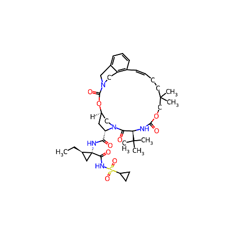 CC[C@@H]1C[C@]1(NC(=O)[C@@H]1C[C@@H]2CN1C(=O)[C@H](C(C)(C)C)NC(=O)OCC(C)(C)CC/C=C\c1cccc3c1CN(C3)C(=O)O2)C(=O)NS(=O)(=O)C1CC1